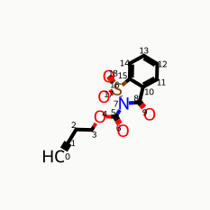 C#CCCOC(=O)N1C(=O)c2ccccc2S1(=O)=O